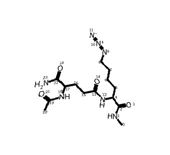 CNC(=O)C(CCCCN=[N+]=[N-])NC(=O)CCC(NC(C)=O)C(N)=O